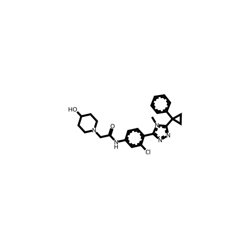 Cn1c(-c2ccc(NC(=O)CN3CCC(O)CC3)cc2Cl)nnc1C1(c2ccccc2)CC1